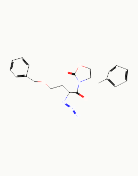 [N-]=[N+]=NC(CCOCc1ccccc1)C(=O)N1C(=O)OC[C@@H]1Cc1ccccc1